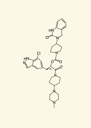 CN1CCN(C2CCN(C(=O)[C@@H](Cc3cc(Cl)c4[nH]ncc4c3)OC(=O)N3CCC(N4Cc5ccccc5NC4=O)CC3)CC2)CC1